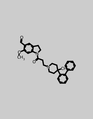 COc1cc2c(cc1C=O)CCN2C(=O)CCN1CCC(C)(c2ccccc2-c2ccccc2)CC1